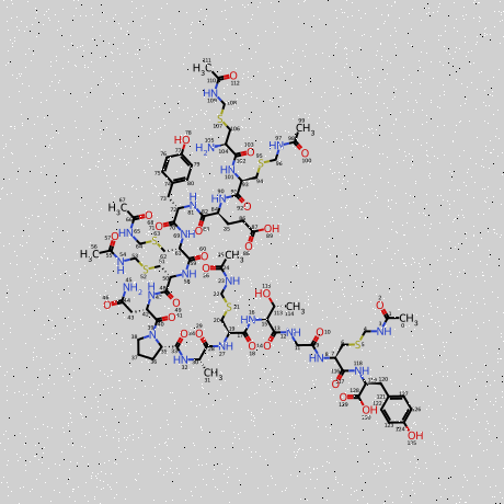 CC(=O)NCSC[C@H](NC(=O)CNC(=O)[C@@H](NC(=O)[C@H](CSCNC(C)=O)NC(=O)[C@H](C)NC(=O)[C@@H]1CCCN1C(=O)[C@H](CC(N)=O)NC(=O)[C@H](CSCNC(C)=O)NC(=O)[C@H](CSCNC(C)=O)NC(=O)[C@H](Cc1ccc(O)cc1)NC(=O)[C@H](CCC(=O)O)NC(=O)[C@H](CSCNC(C)=O)NC(=O)[C@@H](N)CSCNC(C)=O)[C@@H](C)O)C(=O)N[C@@H](Cc1ccc(O)cc1)C(=O)O